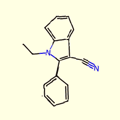 CCn1c(-c2c[c]ccc2)c(C#N)c2ccccc21